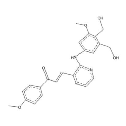 COc1ccc(C(=O)/C=C/c2cccnc2Nc2cc(CO)c(CO)c(OC)c2)cc1